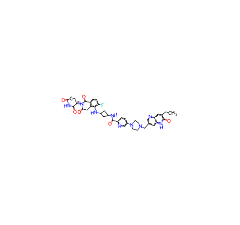 CCc1cc2ncc(CN3CCN(c4ccc(C(=O)NC5CC(Nc6c(F)ccc7c6CC(=O)N([C@@H]6CCC(=O)NC6=O)C7=O)C5)nc4)CC3)cc2[nH]c1=O